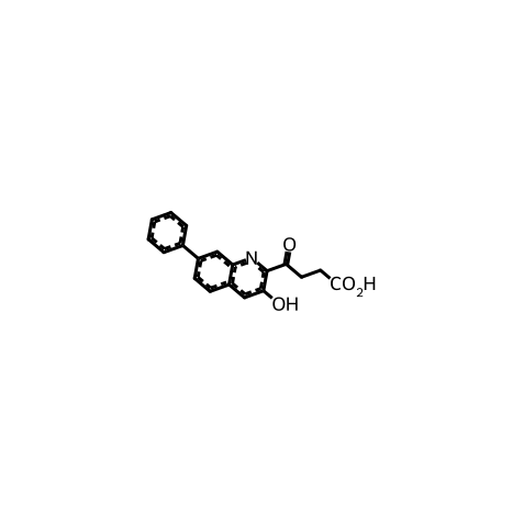 O=C(O)CCC(=O)c1nc2cc(-c3ccccc3)ccc2cc1O